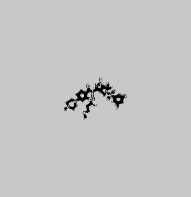 COCC[C@H](C)Nc1cc(N2CCN(C)CC2)ccc1C(=O)Nc1n[nH]c2c1CN(S(=O)(=O)c1cc(F)cc(F)c1)C2(C)C